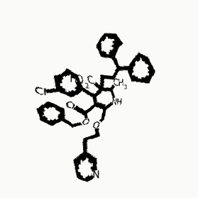 CC1NC(COCCc2cccnc2)=C(C(=O)OCc2ccccc2)C(c2cccc(Cl)c2)C1(CCC(c1ccccc1)c1ccccc1)C(=O)O